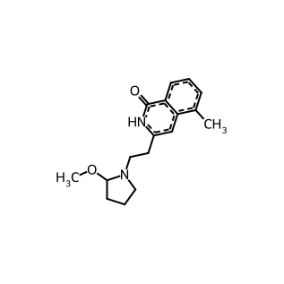 COC1CCCN1CCc1cc2c(C)cccc2c(=O)[nH]1